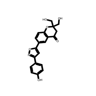 O=C1CC(CO)(CO)Oc2ccc(-c3cc(-c4ccc(O)cc4)no3)cc21